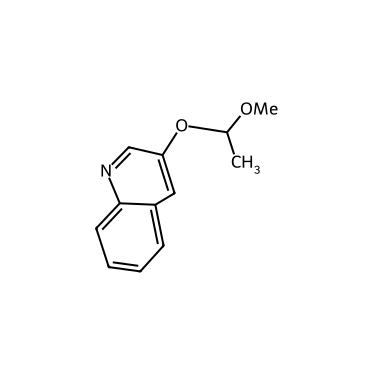 COC(C)Oc1cnc2ccccc2c1